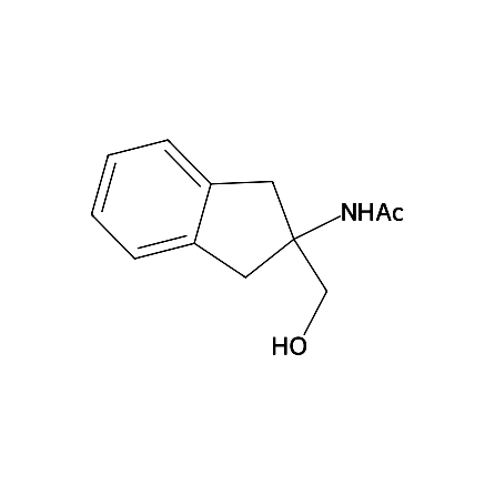 CC(=O)NC1(CO)Cc2ccccc2C1